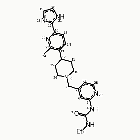 CCNC(=O)Nc1cc(CN2CCC(c3ccc(-c4ncc[nH]4)nc3C)CC2)ccn1